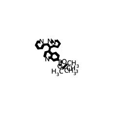 CC1(C)OB(c2ccc3c(C4C(c5ccccn5)=NN5CCCC45)ccnc3c2)OC1(C)C